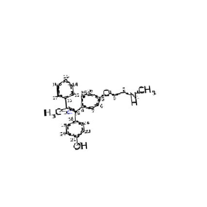 CNCCOc1ccc(/C(=C(/C)c2ccccc2)c2ccc(O)cc2)cc1